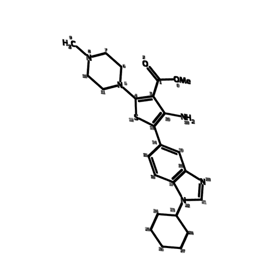 COC(=O)c1c(N2CCN(C)CC2)sc(-c2ccc3c(c2)ncn3C2CCCCC2)c1N